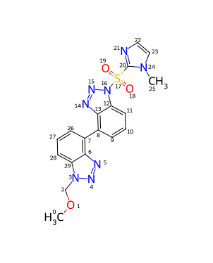 COCn1nnc2c(-c3cccc4c3nnn4S(=O)(=O)c3nccn3C)cccc21